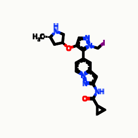 C[C@H]1C[C@H](Oc2cnn(CI)c2-c2ccn3nc(NC(=O)C4CC4)cc3c2)CN1